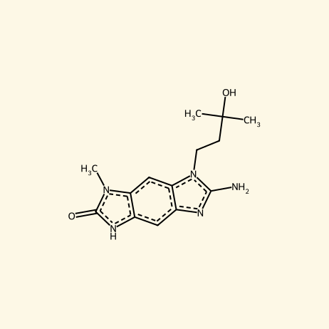 Cn1c(=O)[nH]c2cc3nc(N)n(CCC(C)(C)O)c3cc21